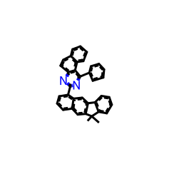 CC1(C)c2ccccc2-c2cc3c(-c4nc(-c5ccccc5)c5c(ccc6ccccc65)n4)cccc3cc21